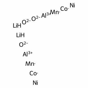 [Al+3].[Al+3].[Co].[Co].[LiH].[LiH].[Mn].[Mn].[Ni].[Ni].[O-2].[O-2].[O-2]